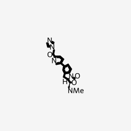 CNC[C@@H]1OC(=O)N2c3ccc(-c4ccc(C(=O)Cn5ccnc5)nc4)cc3C[C@@H]12